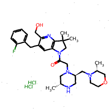 C[C@@H]1CN(CC(=O)N2CC(C)(C)c3nc(CO)c(Cc4ccccc4F)cc32)[C@@H](CN2CCOC[C@H]2C)CN1.Cl.Cl